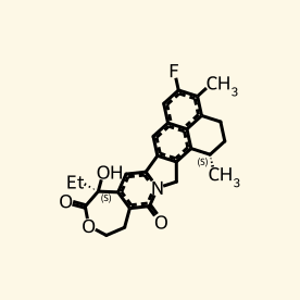 CC[C@@]1(O)C(=O)OCCc2c1cc1n(c2=O)Cc2c-1cc1cc(F)c(C)c3c1c2[C@@H](C)CC3